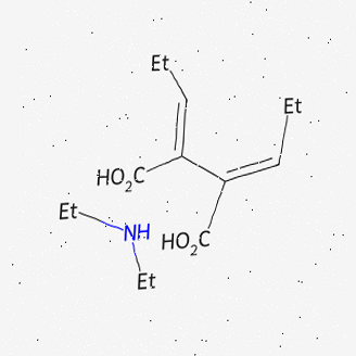 CCC=C(C(=O)O)C(=CCC)C(=O)O.CCNCC